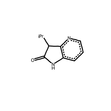 CC(C)C1C(=O)Nc2cccnc21